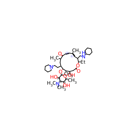 CCC1OC(=O)CC(O)C(C)C(O[C@@H]2O[C@H](C)[C@@H](O)[C@H](N(C)C)[C@H]2O)C(CCN2CCCCC2)CC(C)C(=O)/C=C\C(C)=C\C1CNC1CCCCC1